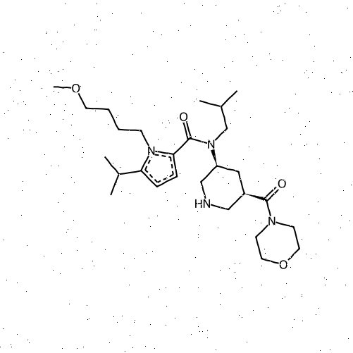 COCCCCn1c(C(=O)N(CC(C)C)[C@@H]2CNC[C@H](C(=O)N3CCOCC3)C2)ccc1C(C)C